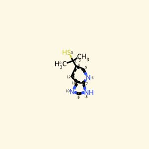 CC(C)(S)c1cnc2[nH]cnc2c1